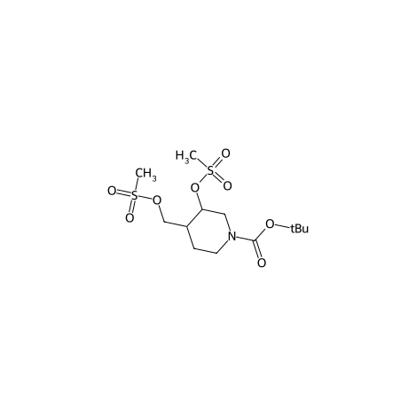 CC(C)(C)OC(=O)N1CCC(COS(C)(=O)=O)C(OS(C)(=O)=O)C1